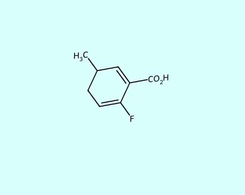 CC1C=C(C(=O)O)C(F)=CC1